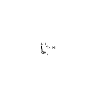 [AlH2][SiH3].[Fe].[Ni]